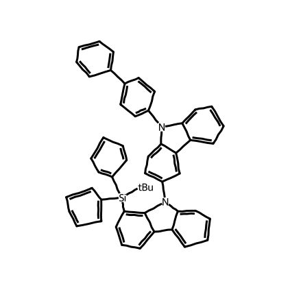 CC(C)(C)[Si](c1ccccc1)(c1ccccc1)c1cccc2c3ccccc3n(-c3ccc4c(c3)c3ccccc3n4-c3ccc(-c4ccccc4)cc3)c12